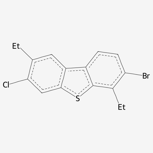 CCc1cc2c(cc1Cl)sc1c(CC)c(Br)ccc12